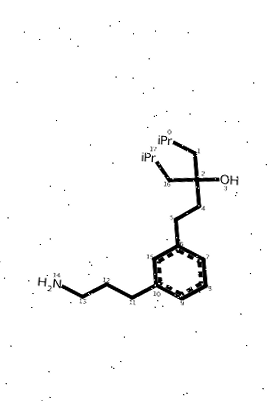 CC(C)CC(O)(CCc1cccc(CCCN)c1)CC(C)C